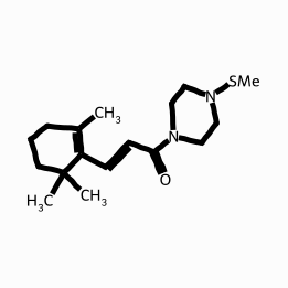 CSN1CCN(C(=O)/C=C/C2=C(C)CCCC2(C)C)CC1